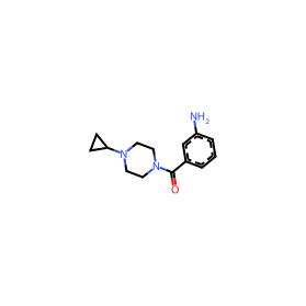 Nc1cccc(C(=O)N2CCN(C3CC3)CC2)c1